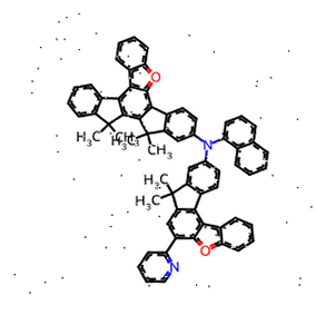 CC1(C)c2cc(N(c3ccc4c(c3)C(C)(C)c3c5c(c6c(oc7ccccc76)c3-4)-c3ccccc3C5(C)C)c3cccc4ccccc34)ccc2-c2c1cc(-c1ccccn1)c1oc3ccccc3c21